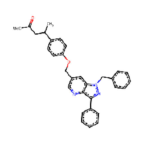 COC(=O)CC(C)c1ccc(OCc2cnc3c(-c4ccccc4)nn(Cc4ccccc4)c3c2)cc1